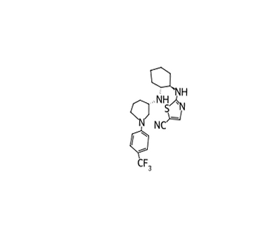 N#Cc1cnc(N[C@@H]2CCCC[C@H]2N[C@H]2CCCN(c3ccc(C(F)(F)F)cc3)C2)s1